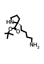 CC(C)(C)OC(=O)[C@]1(CCCCCN)CCCN1